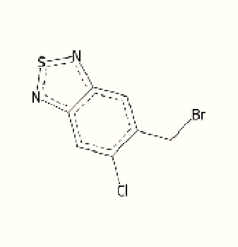 Clc1cc2nsnc2cc1CBr